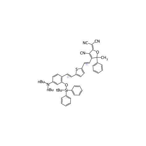 [C-]#[N+]C1=C(/C=C/c2ccc(/C=C/c3ccc(N(CCCC)CCCC)cc3O[Si](c3ccccc3)(c3ccccc3)C(C)(C)C)s2)C(C)(c2ccccc2)OC1=C(C#N)C#N